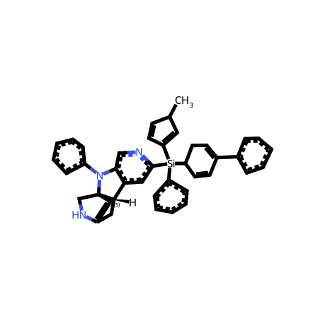 CC1C=CC([Si](c2ccccc2)(c2cc3c(cn2)N(c2ccccc2)C24C=C(C[C@@H]32)NC4)C2C=CC(c3ccccc3)=CC2)=C1